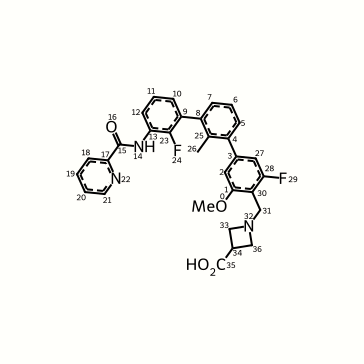 COc1cc(-c2cccc(-c3cccc(NC(=O)c4ccccn4)c3F)c2C)cc(F)c1CN1CC(C(=O)O)C1